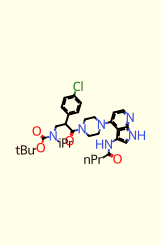 CCCC(=O)Nc1c[nH]c2nccc(N3CCN(C(=O)C(CN(C(=O)OC(C)(C)C)C(C)C)c4ccc(Cl)cc4)CC3)c12